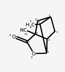 CC1C2CC3C1OC(=O)C3(C#N)C2